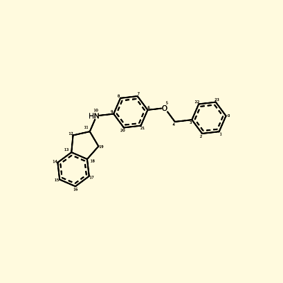 c1ccc(COc2ccc(NC3Cc4ccccc4C3)cc2)cc1